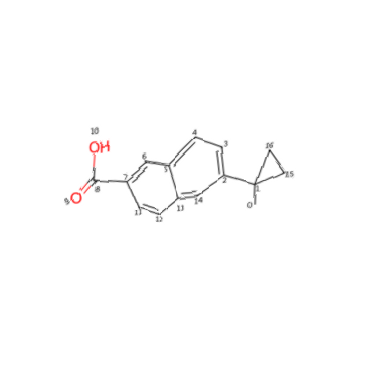 CC1(c2ccc3cc(C(=O)O)ccc3c2)CC1